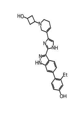 CCc1cc(O)ccc1-c1ccc2c(-c3nc(C4=CCCN(C5CC(O)C5)C4)c[nH]3)n[nH]c2c1